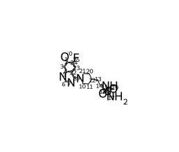 COc1cc2ncnc(N3CCC(CCNS(N)(=O)=O)CC3)c2cc1F